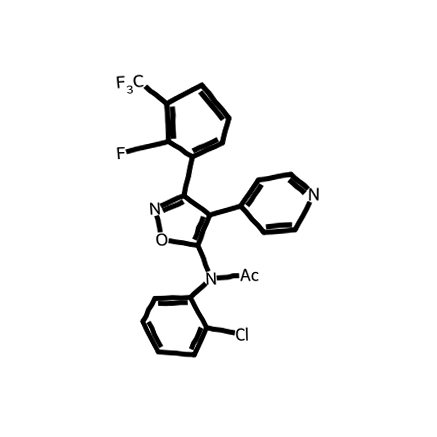 CC(=O)N(c1ccccc1Cl)c1onc(-c2cccc(C(F)(F)F)c2F)c1-c1ccncc1